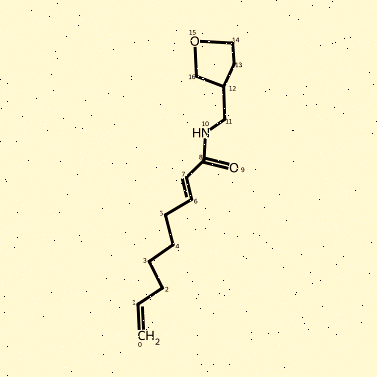 C=CCCCCC=CC(=O)NCC1CCOC1